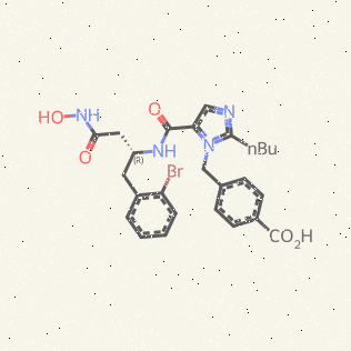 CCCCc1ncc(C(=O)N[C@@H](CC(=O)NO)Cc2ccccc2Br)n1Cc1ccc(C(=O)O)cc1